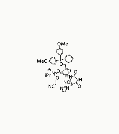 COc1ccc(C(OC[C@H]2O[C@@H](n3cc(Cn4ccnc4[N+](=O)[O-])c(=O)[nH]c3=O)C[C@@H]2OP(OCCC#N)N(C(C)C)C(C)C)(c2ccccc2)c2ccc(OC)cc2)cc1